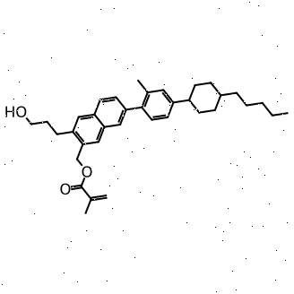 C=C(C)C(=O)OCc1cc2cc(-c3ccc(C4CCC(CCCCC)CC4)cc3C)ccc2cc1CCCO